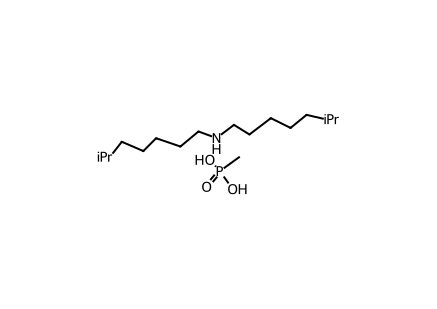 CC(C)CCCCCNCCCCCC(C)C.CP(=O)(O)O